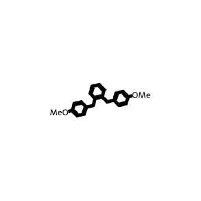 COc1ccc(Cc2[c]cccc2Cc2ccc(OC)cc2)cc1